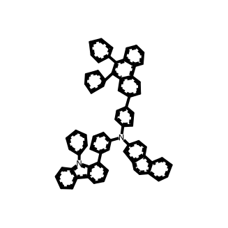 c1ccc(-c2c(-c3ccccc3)c3cc(-c4ccc(N(c5cccc(-c6cccc7c8ccccc8n(-c8ccccc8)c67)c5)c5ccc6c(ccc7ccccc76)c5)cc4)ccc3c3ccccc23)cc1